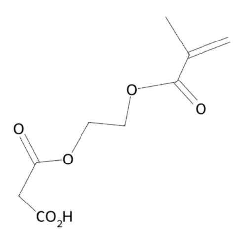 C=C(C)C(=O)OCCOC(=O)CC(=O)O